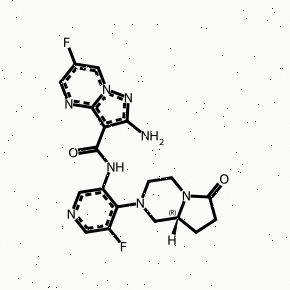 Nc1nn2cc(F)cnc2c1C(=O)Nc1cncc(F)c1N1CCN2C(=O)CC[C@@H]2C1